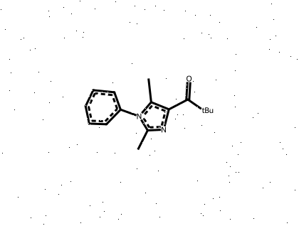 Cc1nc(C(=O)C(C)(C)C)c(C)n1-c1ccccc1